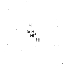 I.I.I.[SnH4]